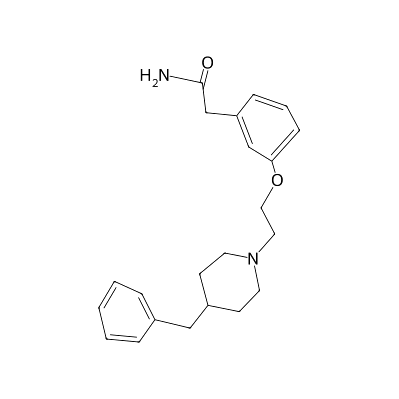 NC(=O)Cc1cccc(OCCN2CCC(Cc3ccccc3)CC2)c1